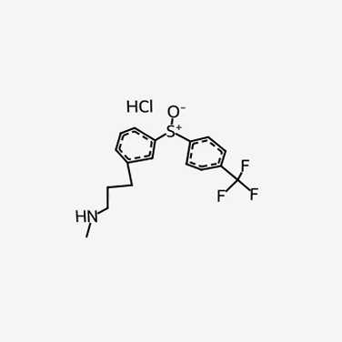 CNCCCc1cccc([S+]([O-])c2ccc(C(F)(F)F)cc2)c1.Cl